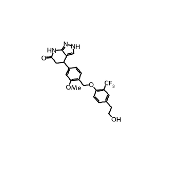 COc1cc(C2CC(=O)Nc3n[nH]cc32)ccc1COc1ccc(CCO)cc1C(F)(F)F